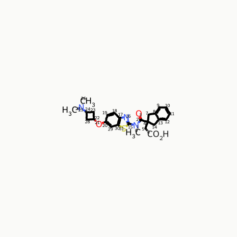 CN(C(=O)C1(CC(=O)O)Cc2ccccc2C1)c1nc2ccc(OC3CC(N(C)C)C3)cc2s1